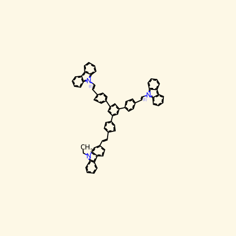 CCn1c2ccccc2c2ccc(C=Cc3ccc(-c4cc(-c5ccc(/C=C/n6c7ccccc7c7ccccc76)cc5)cc(-c5ccc(/C=C/n6c7ccccc7c7ccccc76)cc5)c4)cc3)cc21